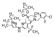 Cc1cc(Nc2cc(C(C)(F)F)c(F)c(C[C@@]3(C(=O)OC(C)(C)C)CCN(Cc4cccc(Cl)c4F)[C@H](C)C3)n2)nn1C(C)(C)C